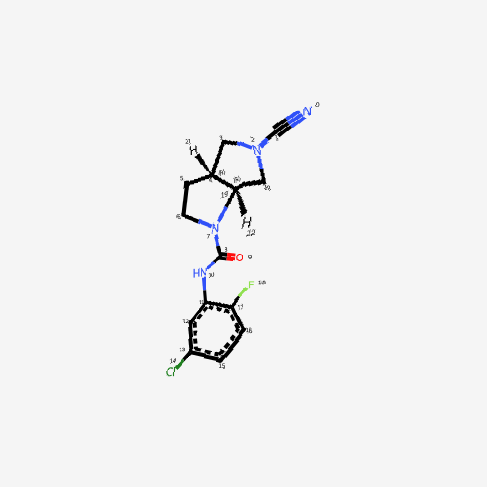 N#CN1C[C@H]2CCN(C(=O)Nc3cc(Cl)ccc3F)[C@H]2C1